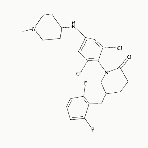 CN1CCC(Nc2cc(Cl)c(N3CC(Cc4c(F)cccc4F)CCC3=O)c(Cl)c2)CC1